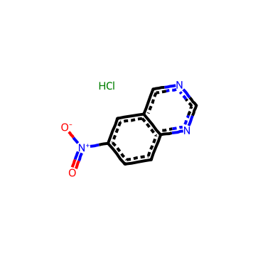 Cl.O=[N+]([O-])c1ccc2ncncc2c1